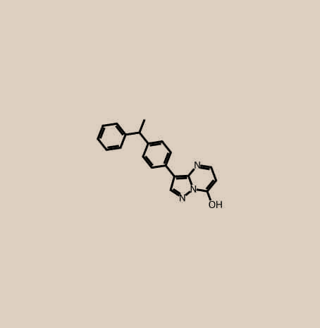 CC(c1ccccc1)c1ccc(-c2cnn3c(O)ccnc23)cc1